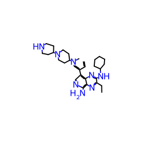 C=C/C(=C\N(C)C1CCN(C2CCNCC2)CC1)c1cnc(N)c2nc(CC)c(NC3CCCCC3)nc12